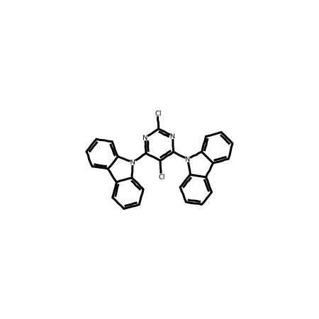 Clc1nc(-n2c3ccccc3c3ccccc32)c(Cl)c(-n2c3ccccc3c3ccccc32)n1